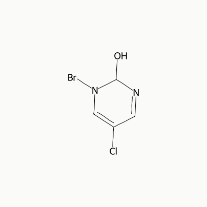 OC1N=CC(Cl)=CN1Br